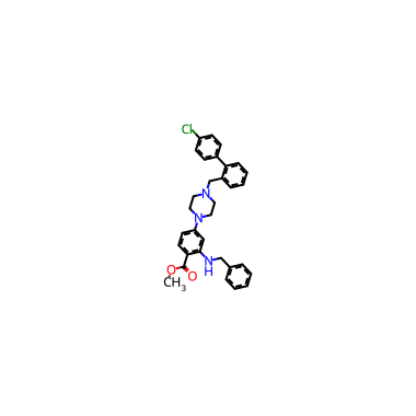 COC(=O)c1ccc(N2CCN(Cc3ccccc3-c3ccc(Cl)cc3)CC2)cc1NCc1ccccc1